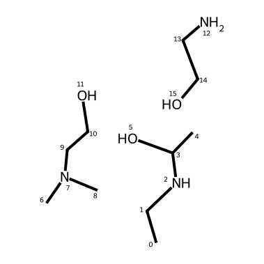 CCNC(C)O.CN(C)CCO.NCCO